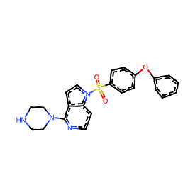 O=S(=O)(c1ccc(Oc2ccccc2)cc1)n1ccc2c(N3CCNCC3)nccc21